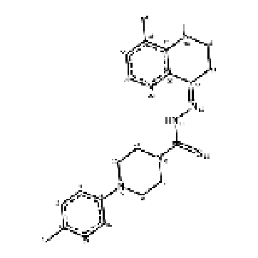 Cc1ccc(N2CCN(C(=S)N/N=C3/CCNc4c(C)ccnc43)CC2)cc1